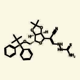 CC1(C)O[C@@H]2[C@@H](CO[Si](c3ccccc3)(c3ccccc3)C(C)(C)C)OC(/C(C#N)=C/NNC(N)=S)[C@@H]2O1